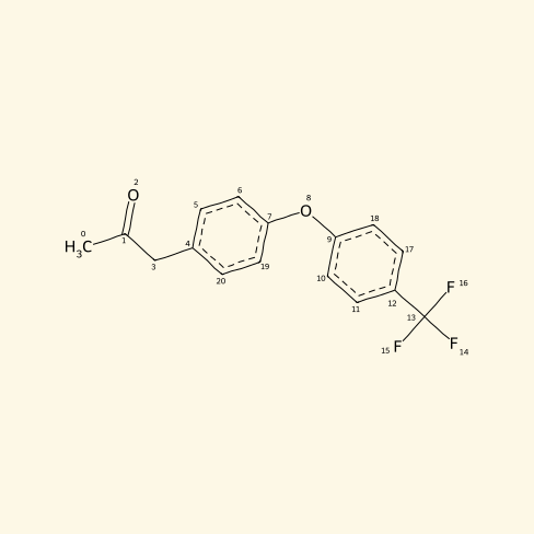 CC(=O)Cc1ccc(Oc2ccc(C(F)(F)F)cc2)cc1